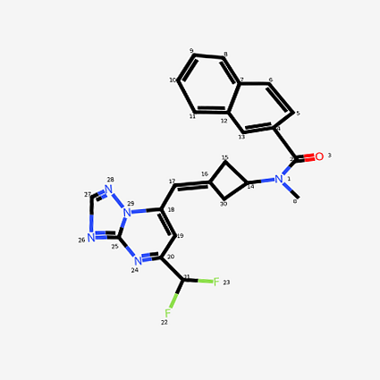 CN(C(=O)c1ccc2ccccc2c1)C1CC(=Cc2cc(C(F)F)nc3ncnn23)C1